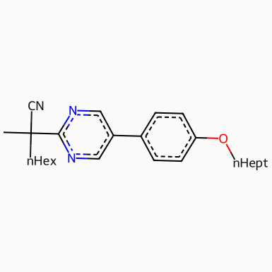 CCCCCCCOc1ccc(-c2cnc(C(C)(C#N)CCCCCC)nc2)cc1